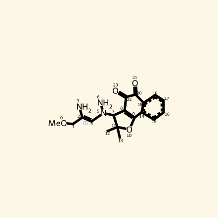 COC/C(N)=C/N(N)C1C2=C(OC1(C)C)c1ccccc1C(=O)C2=O